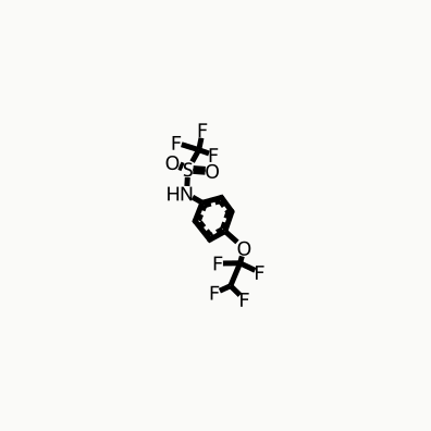 O=S(=O)(Nc1ccc(OC(F)(F)C(F)F)cc1)C(F)(F)F